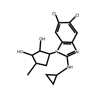 CC1CC(n2c(NC3CC3)nc3cc(Cl)c(Cl)cc32)C(O)C1O